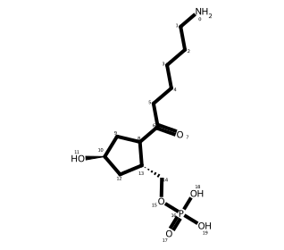 NCCCCCC(=O)C1C[C@H](O)C[C@H]1COP(=O)(O)O